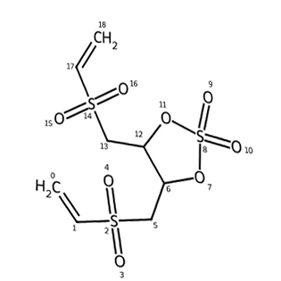 C=CS(=O)(=O)CC1OS(=O)(=O)OC1CS(=O)(=O)C=C